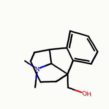 CN(C)C1C2CCCCC1(CO)c1ccccc12